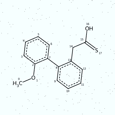 COc1ccccc1-c1ccccc1CC(O)=S